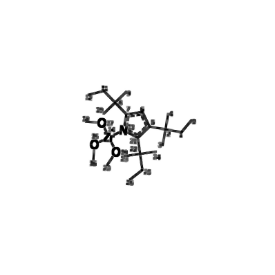 CCC(C)(C)c1cc(C(C)(C)CC)[n]([Zr]([O]C)([O]C)[O]C)c1C(C)(C)CC